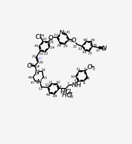 COc1ccc(NCCc2ccc(CN3CCN(C(=O)/C=C/c4ccc(Oc5ccc(OCc6ccc(C#N)cc6)cn5)c(Cl)c4)CC3)cc2)cc1.Cl.Cl